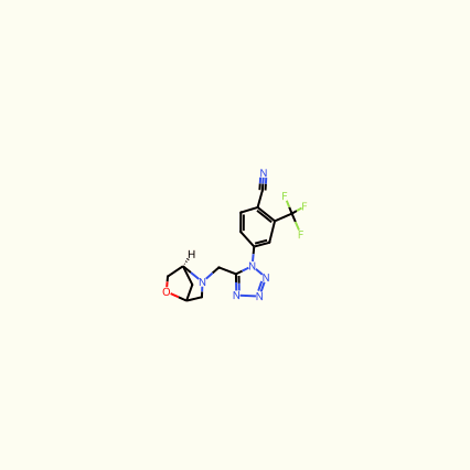 N#Cc1ccc(-n2nnnc2CN2CC3C[C@H]2CO3)cc1C(F)(F)F